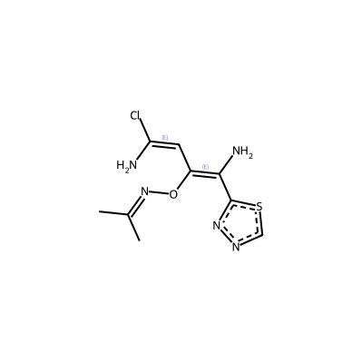 CC(C)=NOC(/C=C(\N)Cl)=C(/N)c1nncs1